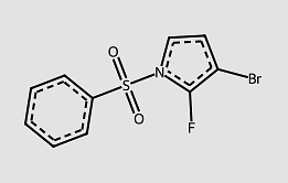 O=S(=O)(c1ccccc1)n1ccc(Br)c1F